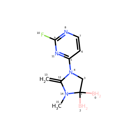 BC1(B)CN(c2ccnc(F)n2)C(=C)N1C